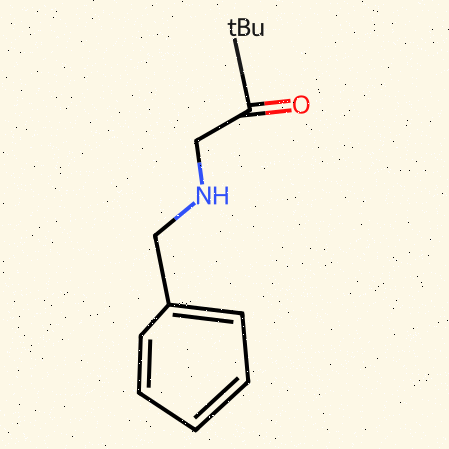 CC(C)(C)C(=O)CNCc1ccccc1